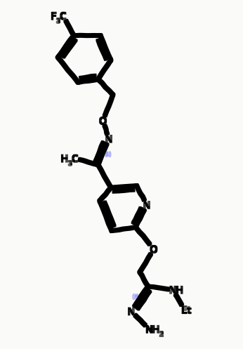 CCN/C(COc1ccc(/C(C)=N/OCc2ccc(C(F)(F)F)cc2)cn1)=N\N